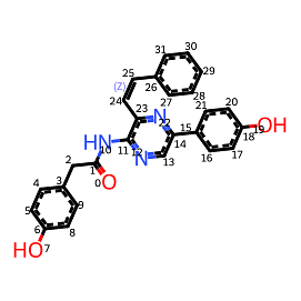 O=C(Cc1ccc(O)cc1)Nc1ncc(-c2ccc(O)cc2)nc1/C=C\c1ccccc1